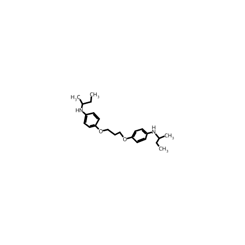 CCC(C)Nc1ccc(OCCCOc2ccc(NC(C)CC)cc2)cc1